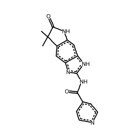 CC1(C)C(=O)Nc2cc3[nH]c(NC(=O)c4ccncc4)nc3cc21